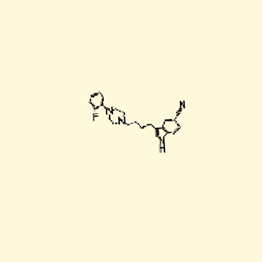 N#Cc1ccc2[nH]cc(CCCCN3CCN(c4ccccc4F)CC3)c2c1